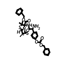 C[C@@H]1C(=S)N2[C@@H]1SC(C)(C)[C@]2(NC(=O)C(N)c1ccc(OC(=O)OCc2ccccc2)cc1)C(=O)OCc1ccccc1